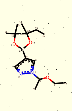 CCOC(C)n1cc(B2OC(C)(C)C(C)(CC)O2)cn1